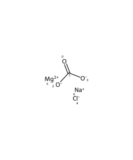 O=C([O-])[O-].[Cl-].[Mg+2].[Na+]